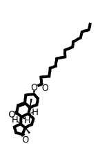 CCCCCCCCCCCCCC(=O)O[C@H]1CC[C@@]2(C)C(=CC(=O)[C@@H]3[C@@H]2CC[C@]2(C)C(=O)CC[C@@H]32)C1